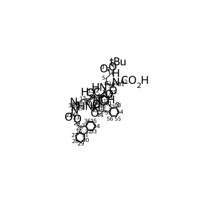 CC(C)(C)OC(=O)CC[C@H](NC(=O)C(C)(C)NC(=O)[C@H](Cc1cn(C(=O)OCC2c3ccccc3-c3ccccc32)cn1)NC(=O)OCC1c2ccccc2-c2ccccc21)C(=O)NCC(=O)O